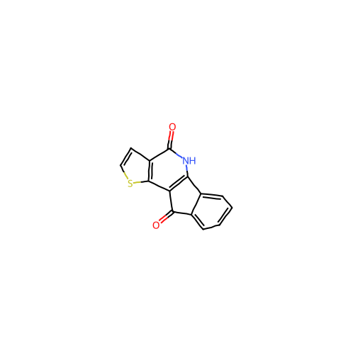 O=C1c2ccccc2-c2[nH]c(=O)c3ccsc3c21